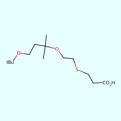 CC(C)(C)OCCC(C)(C)OCCSCCC(=O)O